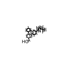 OCC1CCC(c2ccccc2)N(c2ccc(-c3noc(C(F)(F)F)n3)cn2)C1